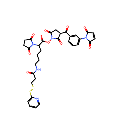 O=C(CCSSc1ccccn1)NCCCCC(C(=O)ON1C(=O)CC(C(=O)c2cccc(N3C(=O)C=CC3=O)c2)C1=O)N1C(=O)CCC1=O